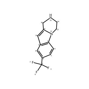 FC(F)(F)c1ccc2c(c1)cc1n2CCNC1